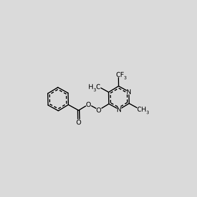 Cc1nc(OOC(=O)c2ccccc2)c(C)c(C(F)(F)F)n1